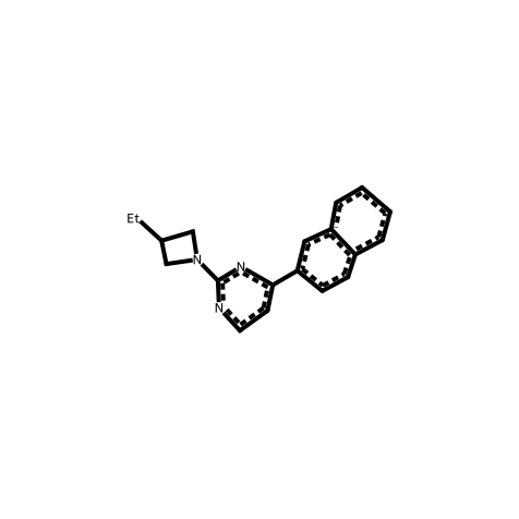 [CH2]CC1CN(c2nccc(-c3ccc4ccccc4c3)n2)C1